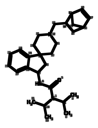 CC(C)N(C(=O)NC1CC2(CCN(CC3CC4C=CC3C4)CC2)c2ccccc21)C(C)C